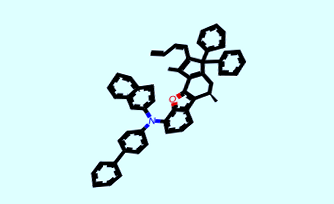 C=C/C=C\C1=C(C)C2=C(C[C@@H](C)c3c2oc2c(N(c4ccc(-c5ccccc5)cc4)c4ccc5ccccc5c4)cccc32)C1(c1ccccc1)c1ccccc1